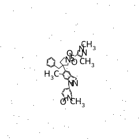 Cc1cc2c(cnn2-c2ccc(=O)n(C)c2)cc1C1(Cc2ccccc2)CCN(S(=O)(=O)c2cn(C)nc2C)C1